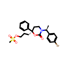 C[C@@H](c1ccc(Br)cc1)N1CC[C@](CCCOS(C)(=O)=O)(c2ccccc2)OC1=O